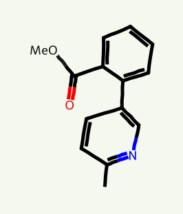 COC(=O)c1ccccc1-c1ccc(C)nc1